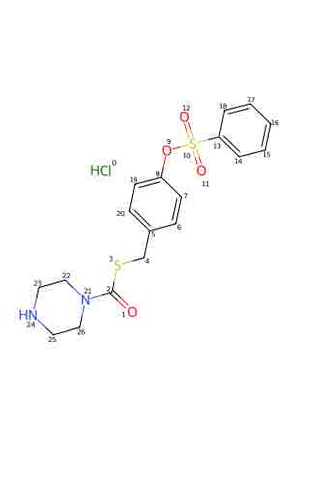 Cl.O=C(SCc1ccc(OS(=O)(=O)c2ccccc2)cc1)N1CCNCC1